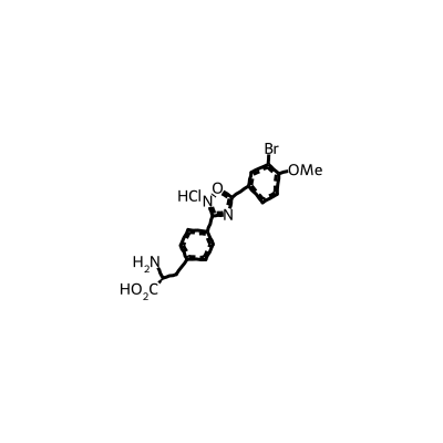 COc1ccc(-c2nc(-c3ccc(C[C@H](N)C(=O)O)cc3)no2)cc1Br.Cl